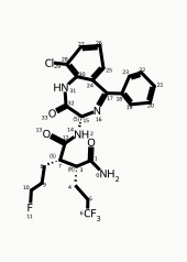 NC(=O)[C@H](CCC(F)(F)F)[C@H](CCCF)C(=O)N[C@H]1N=C(c2ccccc2)c2cccc(Cl)c2NC1=O